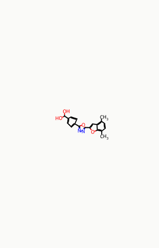 Cc1ccc(C)c2oc(-c3nnc(-c4ccc(C(O)O)cc4)o3)cc12